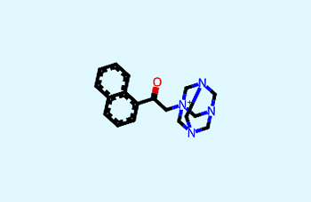 O=C(C[N+]12CN3CN(CN(C3)C1)C2)c1cccc2ccccc12